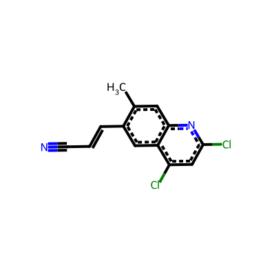 Cc1cc2nc(Cl)cc(Cl)c2cc1/C=C/C#N